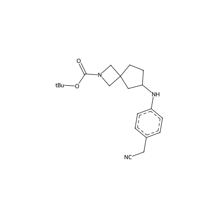 CC(C)(C)OC(=O)N1CC2(CCC(Nc3ccc(CC#N)cc3)C2)C1